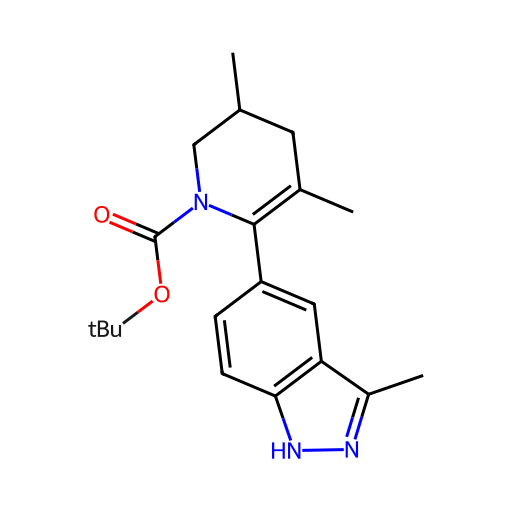 CC1=C(c2ccc3[nH]nc(C)c3c2)N(C(=O)OC(C)(C)C)CC(C)C1